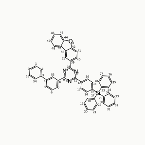 c1ccc(-c2cccc(-c3nc(-c4ccc([Si](c5ccccc5)(c5ccccc5)c5ccccc5)cc4)nc(-c4ccc5oc6ccccc6c5c4)n3)c2)cc1